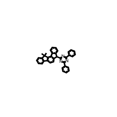 CC1(C)c2ccccc2-c2ccc3c(c21)-c1ccccc1C3c1nc(-c2ccccc2)nc(-c2ccccc2)n1